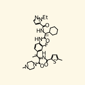 CCn1nccc1C(=O)N[C@H](C(=O)Nc1ccc([C@H](C)[C@@H](NC(=O)c2ccc(C)s2)C(=O)N2CCN(C)CC2)cc1F)C1CCCCC1